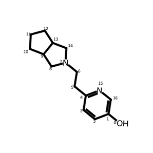 Oc1ccc(CCN2CC3CCCC3C2)nc1